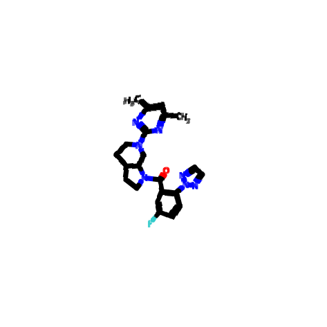 Cc1cc(C)nc(N2CCC3CCN(C(=O)c4cc(F)ccc4-n4nccn4)C3C2)n1